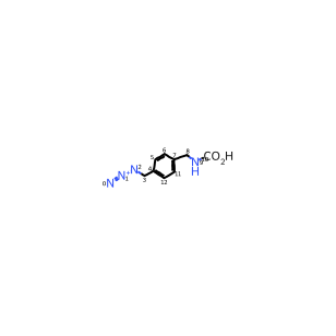 [N-]=[N+]=NCc1ccc(CNC(=O)O)cc1